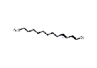 CCC=C/C=C/CCCCCCCCOC(C)=O